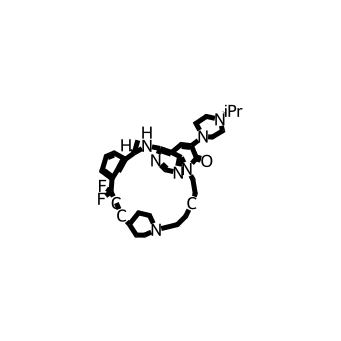 CC(C)N1CCN(c2cc3c4ncnc3n(c2=O)CCCCCN2CCC(CC2)CCC(F)(F)c2cccc(c2)[C@@H](C)N4)CC1